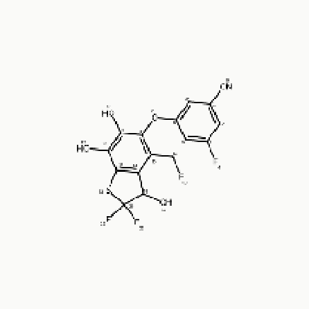 N#Cc1cc(F)cc(Oc2c(O)c(O)c3c(c2CF)C(O)C(F)(F)S3)c1